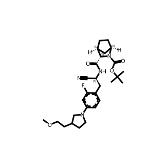 COCCC1CCN(c2ccc(C[C@@H](C#N)NC(=O)[C@@H]3[C@H]4CC[C@H](C4)N3C(=O)OC(C)(C)C)c(F)c2)C1